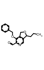 CCCC1OCc2c1cnc(C=O)c2OCc1ccccc1